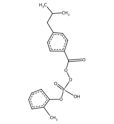 Cc1ccccc1OP(=O)(O)OOC(=O)c1ccc(CC(C)C)cc1